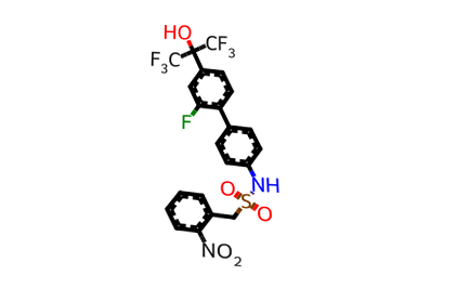 O=[N+]([O-])c1ccccc1CS(=O)(=O)Nc1ccc(-c2ccc(C(O)(C(F)(F)F)C(F)(F)F)cc2F)cc1